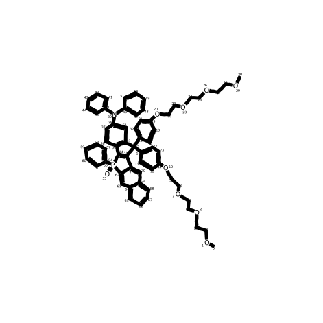 COCCOCCOCCOc1ccc(C2(c3ccc(OCCOCCOCCOC)cc3)C3=C(c4ccc(N(c5ccccc5)c5ccccc5)cc42)P(=O)(c2ccccc2)c2cc4ccccc4cc23)cc1